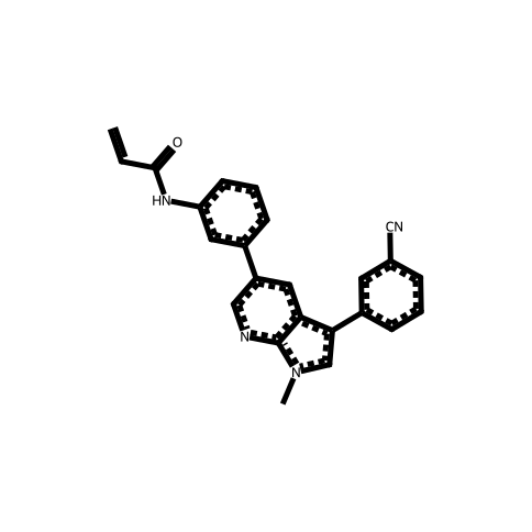 C=CC(=O)Nc1cccc(-c2cnc3c(c2)c(-c2cccc(C#N)c2)cn3C)c1